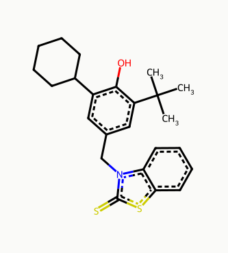 CC(C)(C)c1cc(Cn2c(=S)sc3ccccc32)cc(C2CCCCC2)c1O